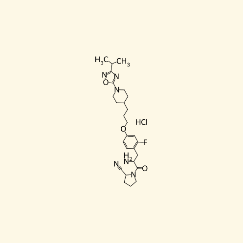 CC(C)c1noc(N2CCC(CCCOc3ccc(CC(N)C(=O)N4CCCC4C#N)c(F)c3)CC2)n1.Cl